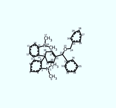 CN(C)c1ccccc1C1(c2ccccc2N(C)C)C=CC(C(OCc2ccccc2)c2ccccc2)=CC1